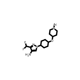 CC(=O)N1CCC(OC2CCC(n3cc(N)c(C(F)F)n3)CC2)CC1